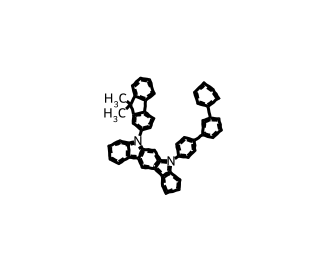 CC1(C)c2ccccc2-c2ccc(-n3c4ccccc4c4cc5c6ccccc6n(-c6ccc(-c7cccc(-c8ccccc8)c7)cc6)c5cc43)cc21